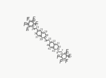 Fc1c(F)c(F)c(/C=C/c2ccc3cc(/C=C/c4ccc5cc(/C=C/c6c(F)c(F)c(F)c(F)c6F)ccc5c4)ccc3c2)c(F)c1F